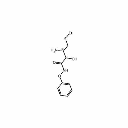 CCSC[C@@H](N)C(O)C(=O)NOc1ccccc1